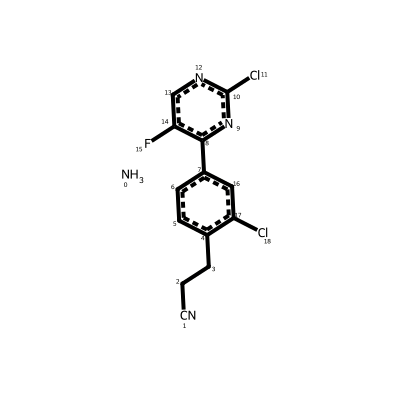 N.N#CCCc1ccc(-c2nc(Cl)ncc2F)cc1Cl